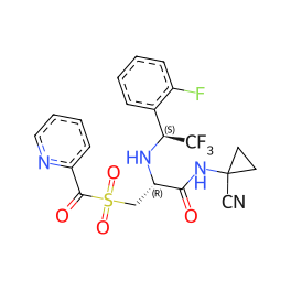 N#CC1(NC(=O)[C@H](CS(=O)(=O)C(=O)c2ccccn2)N[C@@H](c2ccccc2F)C(F)(F)F)CC1